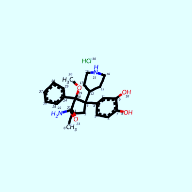 CCCC(c1ccc(O)c(O)c1)(C1CCNCC1)C(OC)(C(N)=O)c1ccccc1.Cl